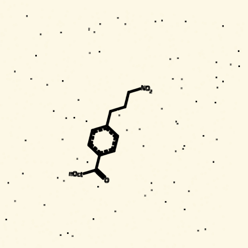 CCCCCCCCC(=O)c1ccc(CCC[N+](=O)[O-])cc1